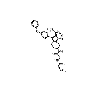 C=CC(=O)NCC(=O)NC1CCc2c(-c3ccc(Oc4ccccc4)cc3)c3c(N)ncnc3n2C1